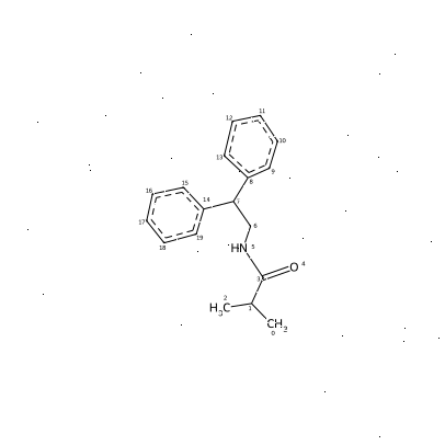 CC(C)C(=O)NCC(c1ccccc1)c1ccccc1